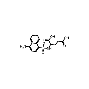 Nc1ccc(S(=O)(=O)NC(CCC(=O)O)C(=O)O)c2ccccc12